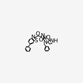 O=C(c1nnc(N(Cc2ccccc2)C2CCNC2=O)o1)c1nc2ccc(-c3ccccc3)cc2s1